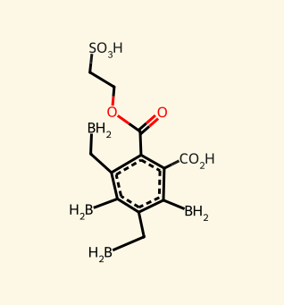 BCc1c(B)c(CB)c(C(=O)OCCS(=O)(=O)O)c(C(=O)O)c1B